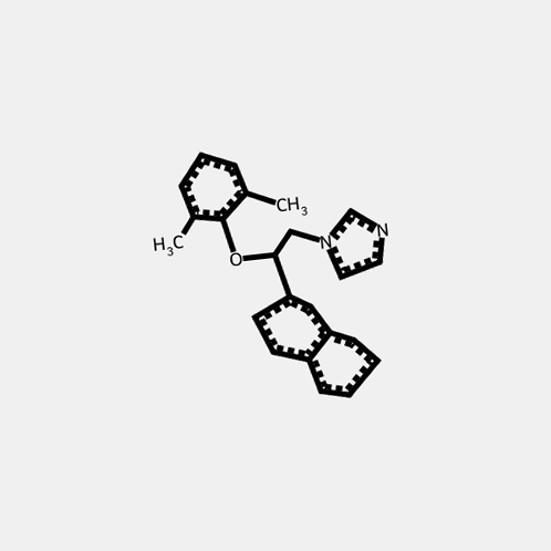 Cc1cccc(C)c1OC(Cn1ccnc1)c1ccc2ccccc2c1